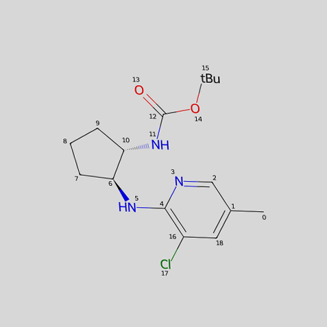 Cc1cnc(N[C@H]2CCC[C@@H]2NC(=O)OC(C)(C)C)c(Cl)c1